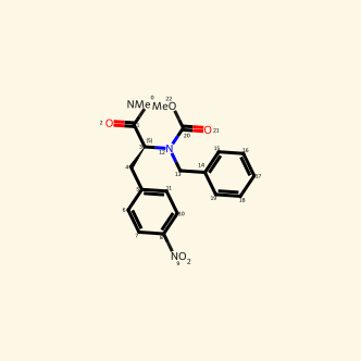 CNC(=O)[C@H](Cc1ccc([N+](=O)[O-])cc1)N(Cc1ccccc1)C(=O)OC